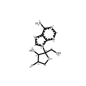 Nc1ncnc2c1ncn2C1(CO)OCC(F)C1O